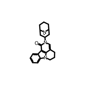 CN1C2CCCC1CC(n1cc3c4c(c1=O)c1ccccc1n4CCC3)C2